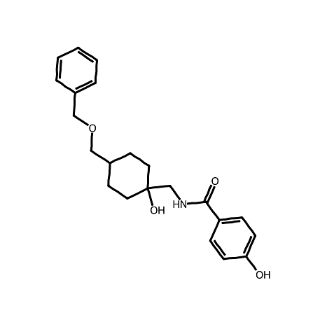 O=C(NCC1(O)CCC(COCc2ccccc2)CC1)c1ccc(O)cc1